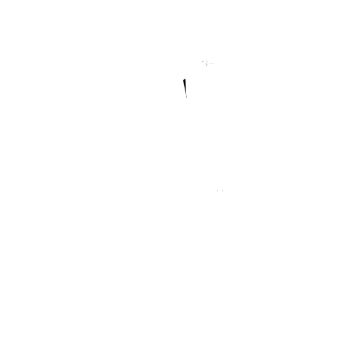 NC[C@H]1CC[C@H](C(=O)OCc2ccccc2)CC1